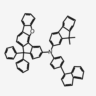 CC1(C)c2ccccc2-c2ccc(N(c3ccc(-c4cccc5ccccc45)cc3)c3ccc4c(c3)-c3c(ccc5c3oc3ccccc35)C4(c3ccccc3)c3ccccc3)cc21